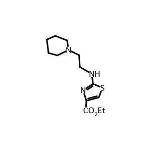 CCOC(=O)c1csc(NCCN2CCCCC2)n1